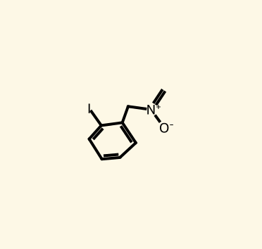 C=[N+]([O-])Cc1ccccc1I